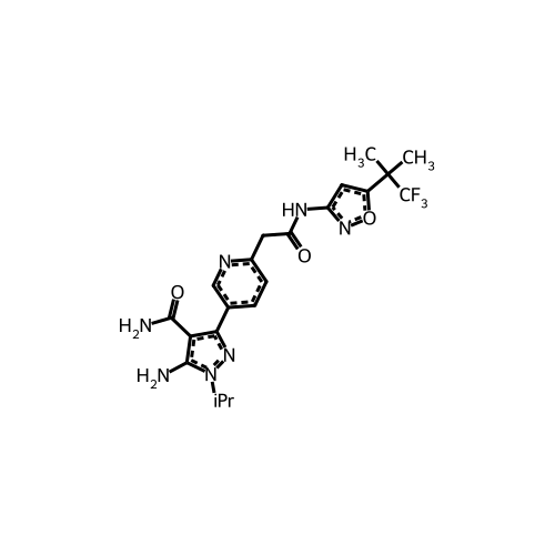 CC(C)n1nc(-c2ccc(CC(=O)Nc3cc(C(C)(C)C(F)(F)F)on3)nc2)c(C(N)=O)c1N